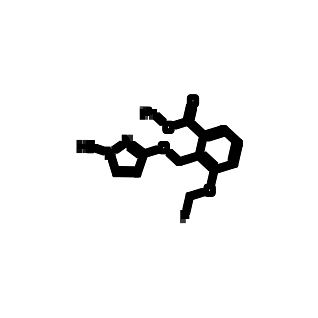 CC(C)OC(=O)c1cccc(OCF)c1COc1ccn(S)n1